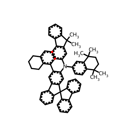 CC1(C)CCC(C)(C)c2cc(N(c3ccc4c(c3)C(C)(C)c3ccccc3-4)c3cc4c(cc3-c3cccc5c3CCCC5)-c3ccccc3C43c4ccccc4-c4ccccc43)ccc21